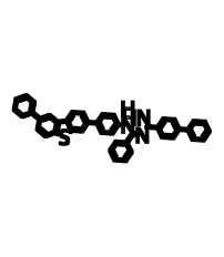 N=C(/N=C(\Nc1ccc(-c2ccc3c(c2)sc2ccc(C4=CC=CCC4)cc23)cc1)c1ccccc1)c1ccc(-c2ccccc2)cc1